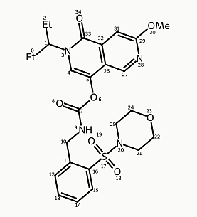 CCC(CC)n1cc(OC(=O)NCc2ccccc2S(=O)(=O)N2CCOCC2)c2cnc(OC)cc2c1=O